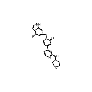 O=c1cc(-c2ccnc(NC3CCOCC3)n2)ccn1Cc1cc(F)c2cc[nH]c2c1